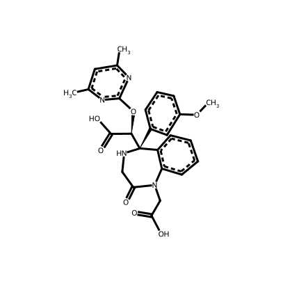 COc1cccc([C@]2([C@H](Oc3nc(C)cc(C)n3)C(=O)O)NCC(=O)N(CC(=O)O)c3ccccc32)c1